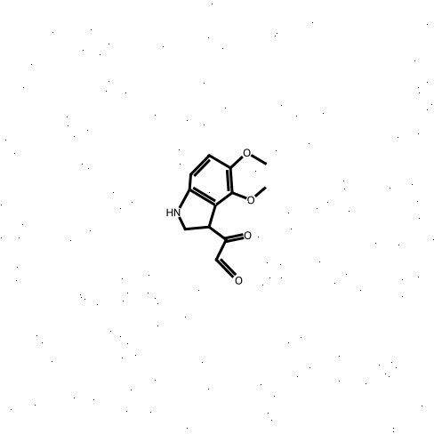 COc1ccc2c(c1OC)C(C(=O)C=O)CN2